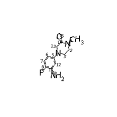 CN1CCN(c2ccc(F)c(N)c2)CC1=O